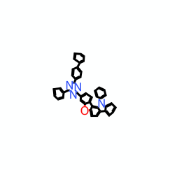 c1ccc(-c2ccc(-c3nc(-c4ccccc4)nc(-c4ccc5c(c4)oc4ccc6c7ccccc7n(-c7ccccc7)c6c45)n3)cc2)cc1